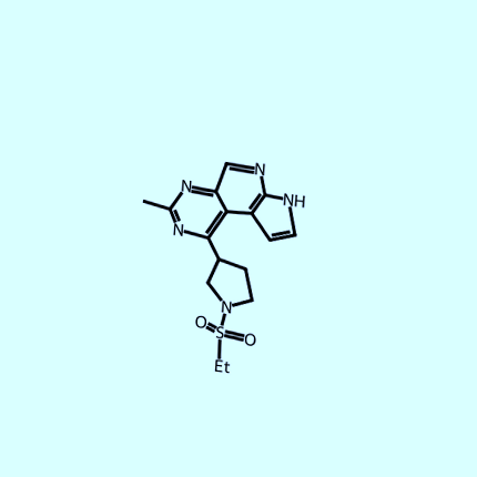 CCS(=O)(=O)N1CCC(c2nc(C)nc3cnc4[nH]ccc4c23)C1